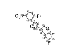 O=[N+]([O-])c1ccc(F)c(-c2nc(C3=Cc4cc(F)ccc4OC3)no2)c1